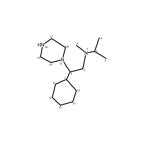 CC(C)N(C)CC(C1CCCCC1)N1CCNCC1